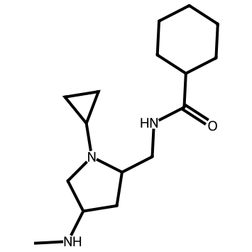 CNC1CC(CNC(=O)C2CCCCC2)N(C2CC2)C1